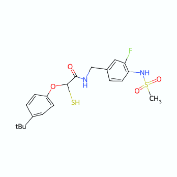 CC(C)(C)c1ccc(OC(S)C(=O)NCc2ccc(NS(C)(=O)=O)c(F)c2)cc1